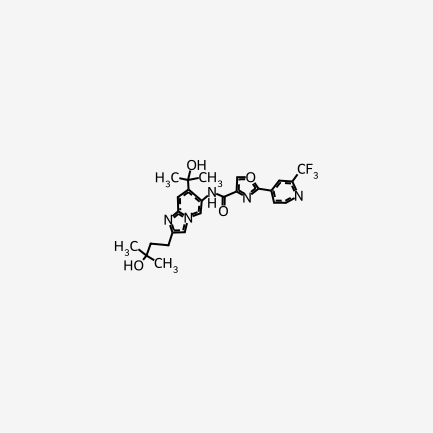 CC(C)(O)CCc1cn2cc(NC(=O)c3coc(-c4ccnc(C(F)(F)F)c4)n3)c(C(C)(C)O)cc2n1